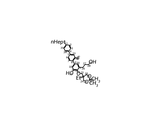 CCCCCCCc1ccc(-c2ccc(-c3cc(O)c(OCC4(CC)COC(C)(C)OC4)c(CCCO)c3)c(F)c2)cc1